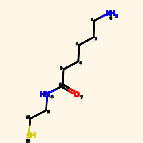 NCCCCCC(=O)NCCS